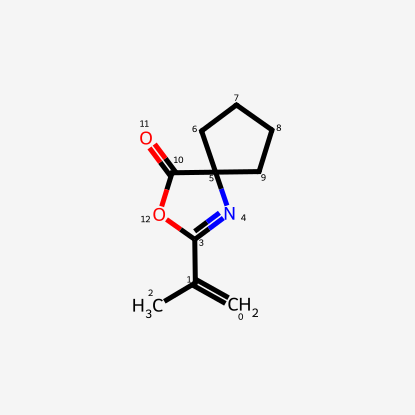 C=C(C)C1=NC2(CCCC2)C(=O)O1